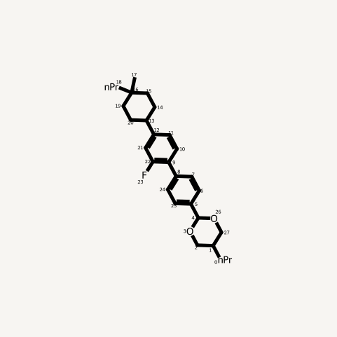 CCCC1COC(c2ccc(-c3ccc(C4CCC(C)(CCC)CC4)cc3F)cc2)OC1